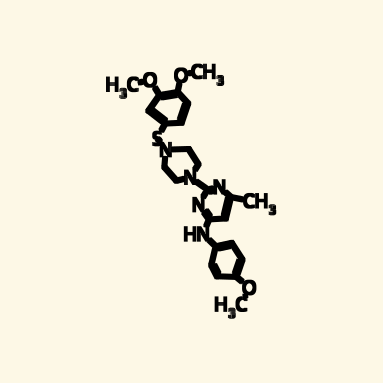 COc1ccc(Nc2cc(C)nc(N3CCN(Sc4ccc(OC)c(OC)c4)CC3)n2)cc1